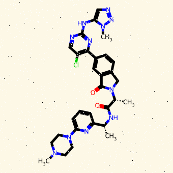 C[C@H](C(=O)N[C@H](C)c1cccc(N2CCN(C)CC2)n1)N1Cc2ccc(-c3nc(Nc4cnnn4C)ncc3Cl)cc2C1=O